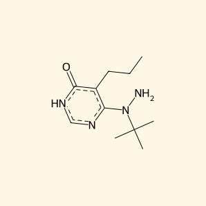 CCCc1c(N(N)C(C)(C)C)nc[nH]c1=O